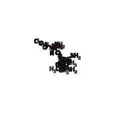 CC(C)[C@H](NC(=O)CCN)C(=O)OC[C@H](COc1ccc(-c2c(C#N)c(N)nc(SCc3coc(-c4ccc(Cl)cc4)n3)c2C#N)cc1)OC(=O)[C@@H](NC(=O)CCN)C(C)C